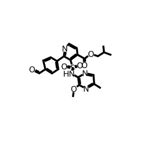 COc1nc(C)cnc1NS(=O)(=O)c1c(C(=O)OCC(C)C)ccnc1-c1ccc(C=O)cc1